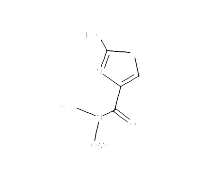 CON(C)C(=O)c1csc(C)n1